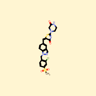 CS(=O)(=O)c1ccc(Cn2ncc3cc(C=C4SC(N5CCNC(=O)C5)=NC4=O)ccc32)c(Cl)c1